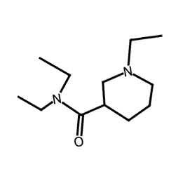 CCN1CCCC(C(=O)N(CC)CC)C1